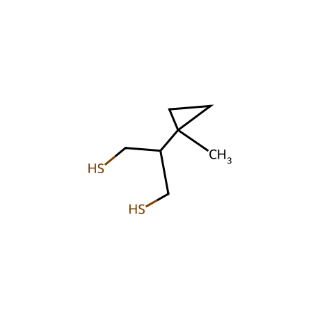 CC1(C(CS)CS)CC1